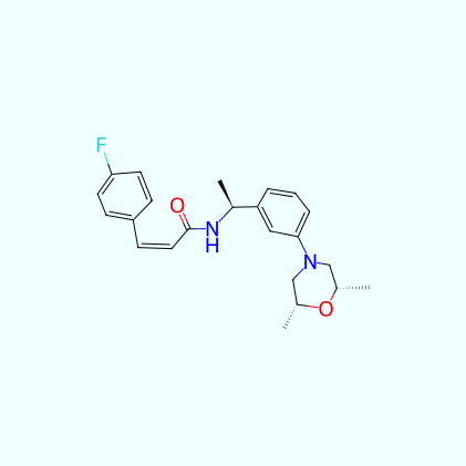 C[C@@H]1CN(c2cccc([C@H](C)NC(=O)/C=C\c3ccc(F)cc3)c2)C[C@H](C)O1